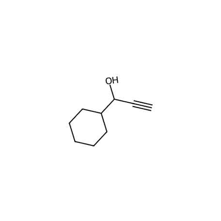 C#CC(O)C1CCCCC1